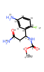 CC(C)(C)OC(=O)NC(CC(N)=O)c1cc(N)ccc1F